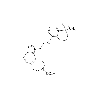 CC1(C)CCCc2c(OCCn3ccc4ccc5c(c43)CCN(C(=O)O)CC5)cccc21